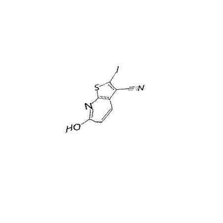 N#Cc1c(I)sc2nc(O)ccc12